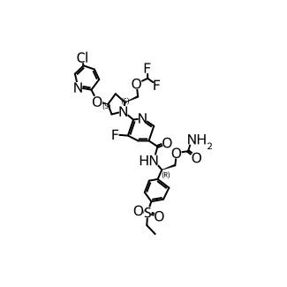 CCS(=O)(=O)c1ccc([C@H](COC(N)=O)NC(=O)c2cnc(N3C[C@@H](Oc4ccc(Cl)cn4)C[C@H]3COC(F)F)c(F)c2)cc1